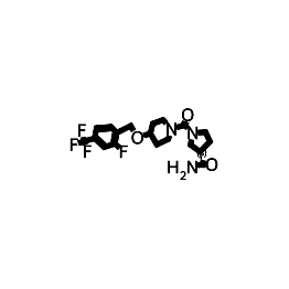 NC(=O)[C@H]1CCN(C(=O)N2CCC(OCc3ccc(C(F)(F)F)cc3F)CC2)C1